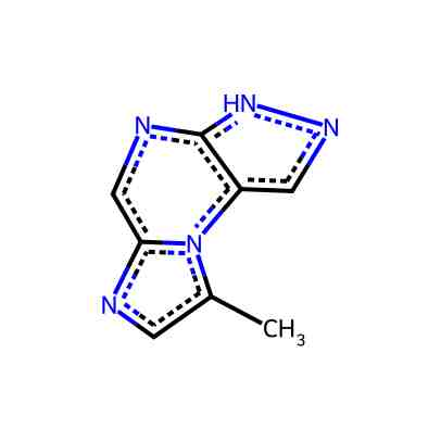 Cc1cnc2cnc3[nH]ncc3n12